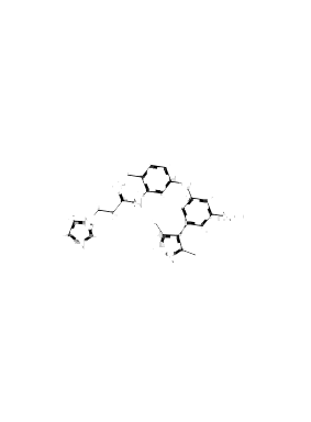 Cc1ccc(Oc2cc(-c3c(C)noc3C)cc([N+](=O)[O-])c2)cc1NC(=O)CCn1ccnc1